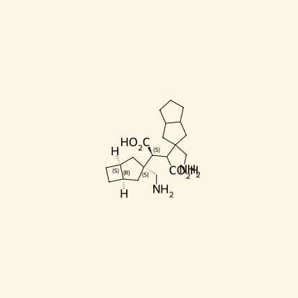 NCC1(C(C(=O)O)[C@H](C(=O)O)[C@@]2(CN)C[C@H]3CC[C@H]3C2)CC2CCCC2C1